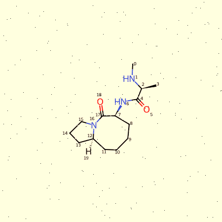 CN[C@@H](C)C(=O)N[C@H]1CCCC[C@H]2CCCN2C1=O